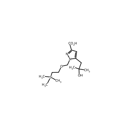 CC(C)(O)Cc1cc(C(=O)O)nn1COCC[Si](C)(C)C